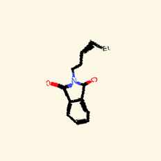 CC/C=C\CCN1C(=O)c2ccccc2C1=O